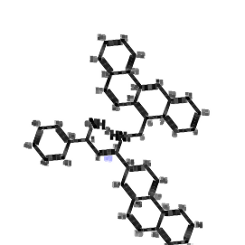 NC(/C=C(\NCc1c2ccccc2cc2c1ccc1ccccc12)c1ccc2c(ccc3ccccc32)c1)c1ccccc1